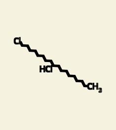 CCCCCCCCCCCCCCCCCCCl.Cl